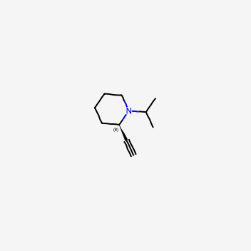 C#C[C@H]1CCCCN1C(C)C